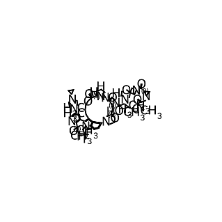 CO[C@@H](C)c1ncc(N2CCN(C3CC3)CC2)cc1-c1c2c3cc(ccc3n1CC(F)(F)F)N1CCO[C@@H](C[C@H](NC(=O)C(C(C)C)N3CCOC4(CN(C(=O)[C@H]5CN5CC(=O)N(C)C)C4)C3)C(=O)N3CCC[C@H](N3)C(=O)OCC(C)(C)C2)C1